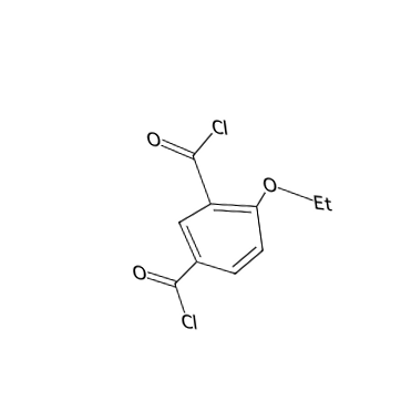 CCOc1ccc(C(=O)Cl)cc1C(=O)Cl